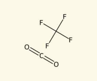 FC(F)(F)F.O=C=O